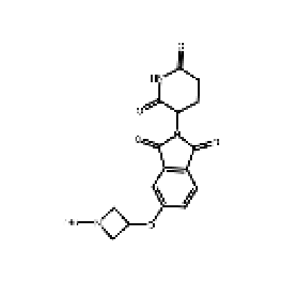 CCCCN1CC(Oc2ccc3c(c2)C(=O)N(C2CCC(=O)NC2=O)C3=O)C1